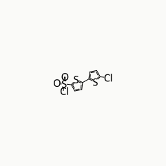 O=S(=O)(Cl)c1ccc(-c2ccc(Cl)s2)s1